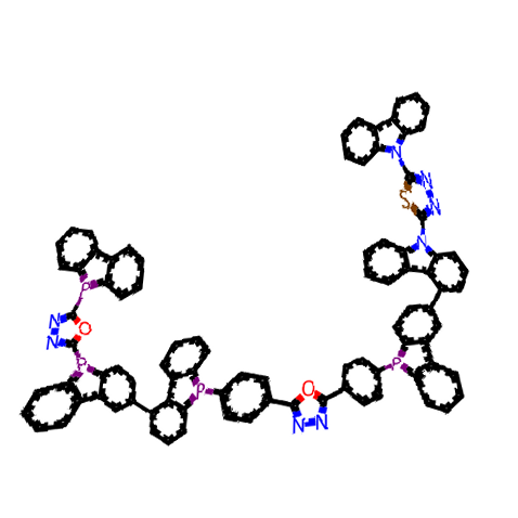 c1ccc2c(c1)c1ccccc1n2-c1nnc(-n2c3ccccc3c3c(-c4ccc5c(c4)c4ccccc4p5-c4ccc(-c5nnc(-c6ccc(-p7c8ccccc8c8c(-c9ccc%10c(c9)c9ccccc9p%10-c9nnc(-p%10c%11ccccc%11c%11ccccc%11%10)o9)cccc87)cc6)o5)cc4)cccc32)s1